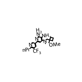 CCCc1ncc(-c2cc(N(C)CC3(COC)CCC3)c(N)c(N)n2)cc1C(F)(F)F